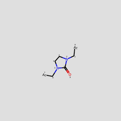 CC(=O)CN1CCN(CC(C)=O)C1=O